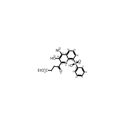 CCOC(=O)CCC(=O)c1nc2c(S(=O)(=O)c3ccccc3)cccc2c(C#N)c1O